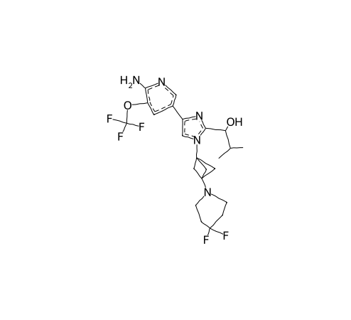 CC(C)C(O)c1nc(-c2cnc(N)c(OC(F)(F)F)c2)cn1C12CC(N3CCC(F)(F)CC3)(C1)C2